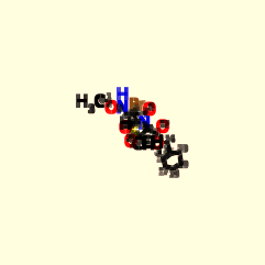 CCONC[C@@]1(Br)C(=O)N2[C@@H](C(=O)OCc3ccccc3)C(C)(C)S(=O)(=O)[C@@H]21